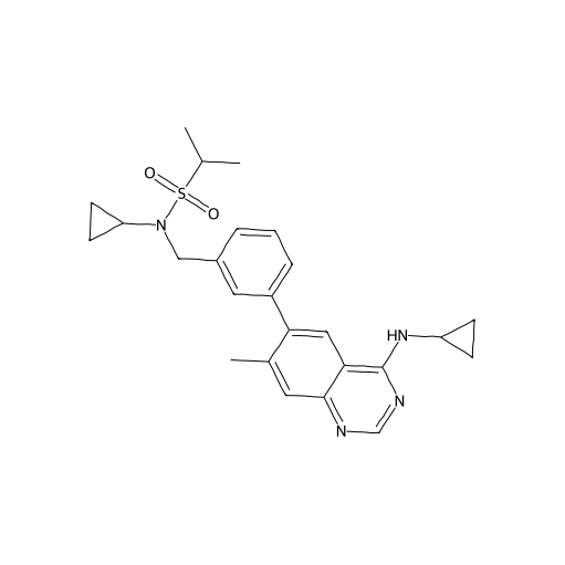 Cc1cc2ncnc(NC3CC3)c2cc1-c1cccc(CN(C2CC2)S(=O)(=O)C(C)C)c1